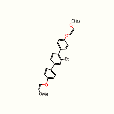 CCc1cc(-c2ccc(O/C=C\OC)cc2)ccc1-c1ccc(O/C=C\OC=O)cc1